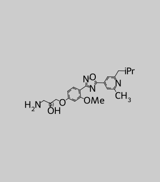 COc1cc(OC[C@@H](O)CN)ccc1-c1noc(-c2cc(C)nc(CC(C)C)c2)n1